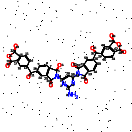 Nc1nc(N2C(=O)c3ccc(C(=O)c4ccc5c(c4)C(=O)OC5=O)cc3C2=O)cc(N2C(=O)c3ccc(C(=O)c4ccc5c(c4)C(=O)OC5=O)cc3C2=O)n1